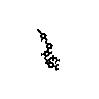 CC(C)(Cn1c(Cc2cc(F)c(-c3cccc(OCc4ccc(C#N)cc4F)n3)cc2F)nc2ccc(C(=O)O)cc21)OC(F)F